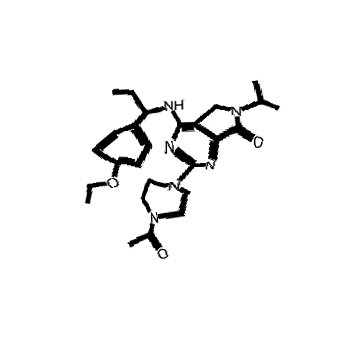 CCOc1ccc(C(CC)Nc2nc(N3CCN(C(C)=O)CC3)nc3c2CN(C(C)C)C3=O)cc1